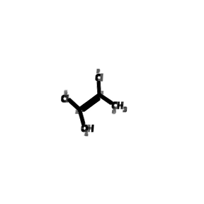 C/C(Cl)=C(\O)Cl